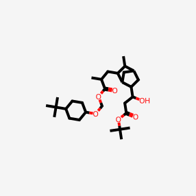 CC(CC1C(C)C2CC(C(O)CC(=O)OC(C)(C)C)C1C2)C(=O)OCOC1CCC(C(C)(C)C)CC1